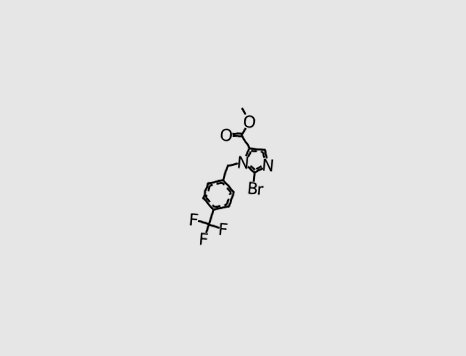 COC(=O)c1cnc(Br)n1Cc1ccc(C(F)(F)F)cc1